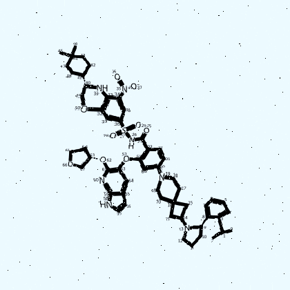 CC(C)c1ccccc1[C@H]1CCCN1C1CC2(CCN(c3ccc(C(=O)NS(=O)(=O)c4cc5c(c([N+](=O)[O-])c4)N[C@@H](C4CCC(C)(C)CC4)CO5)c(Oc4cc5cc[nH]c5nc4O[C@H]4CCOC4)c3)CC2)C1